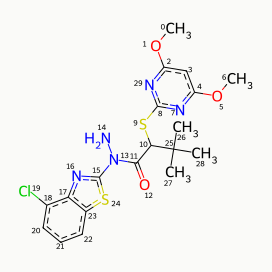 COc1cc(OC)nc(SC(C(=O)N(N)c2nc3c(Cl)cccc3s2)C(C)(C)C)n1